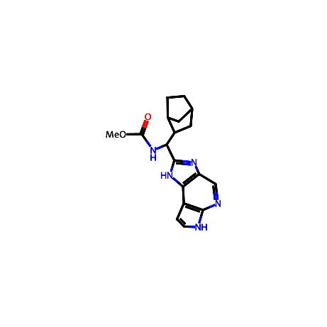 COC(=O)NC(c1nc2cnc3[nH]ccc3c2[nH]1)C1CC2CCC1C2